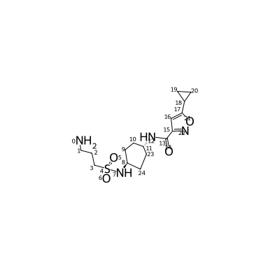 NCCCS(=O)(=O)N[C@H]1CC[C@H](NC(=O)c2cc(C3CC3)on2)CC1